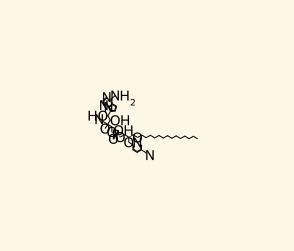 CCCCCCCCCCCCCCOC[C@H](COP(=O)(O)OCC(C#N)(OC)[C@@H](O)[C@@H](O)c1ccc2c(N)ncnn12)Oc1ccc(C#N)cn1